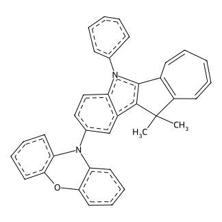 CC1(C)C2=C(C=CC=C=C2)c2c1c1cc(N3c4ccccc4Oc4ccccc43)ccc1n2-c1ccccc1